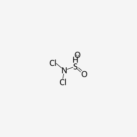 O=[SH](=O)N(Cl)Cl